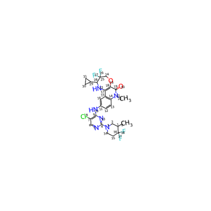 CC1CN(c2ncc(Cl)c(Nc3ccc4c(c3)c3c(c(=O)n4C)OCC(F)(F)C(C4CC4)N3)n2)CCC1(F)F